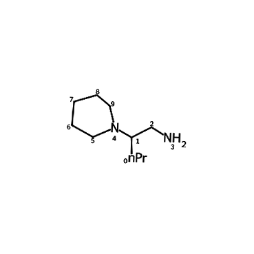 CCCC(CN)N1CCCCC1